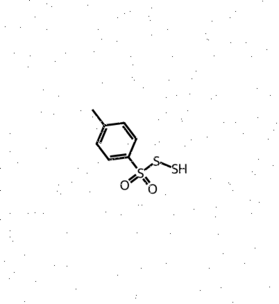 Cc1ccc(S(=O)(=O)SS)cc1